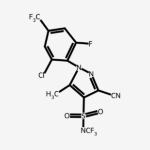 Cc1c(S(=O)(=O)NC(F)(F)F)c(C#N)nn1-c1c(F)cc(C(F)(F)F)cc1Cl